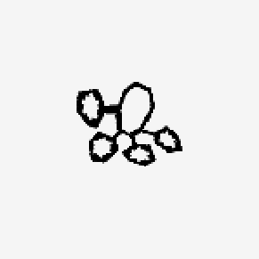 c1ccc(C2=C(c3ccccc3)C(c3ccccc3)=C(c3ccccc3)CCCC2)cc1